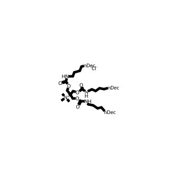 CCCCCCCCCCCCCCNC(=O)OCC(COC(=O)NCCCCCCCCCCCCCC)(COC(=O)NCCCCCCCCCCCCCC)[N+](C)(C)C.[Cl-]